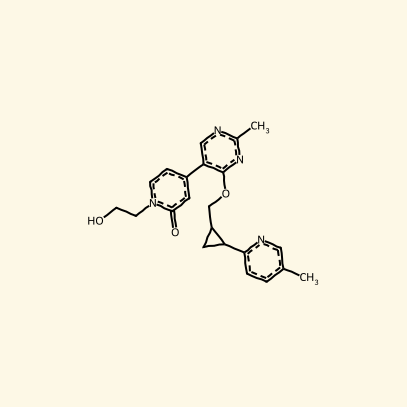 Cc1ccc(C2CC2COc2nc(C)ncc2-c2ccn(CCO)c(=O)c2)nc1